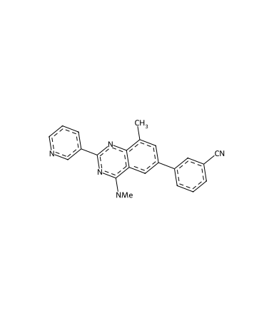 CNc1nc(-c2cccnc2)nc2c(C)cc(-c3cccc(C#N)c3)cc12